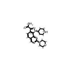 NC(=O)c1nn(C2CCNCC2)c2c1ccc1cnc(N3CCOCC3)nc12